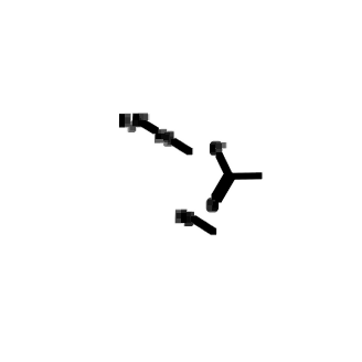 CC(=O)[O-].[CH3][Hg].[CH3][Hg][NH3+]